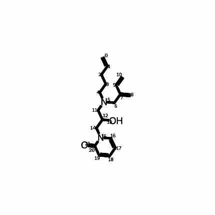 C=CCCCN(CC(=C)C=C)CC(O)Cn1ccccc1=O